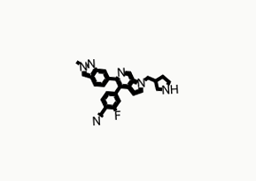 Cn1cc2ccc(-c3ncc4c(ccn4CC4CCNC4)c3-c3ccc(C#N)c(F)c3)cc2n1